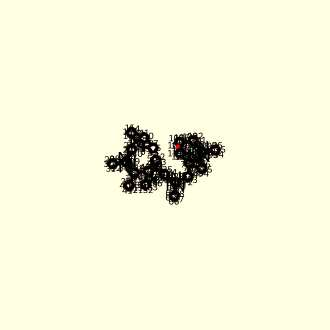 CC1(C)c2ccccc2-c2ccc3c4ccccc4n(-c4ccc(-c5nc(-c6ccccc6)nc(-c6cc(-c7ccccc7)cc(-c7cc8c9ccccc9n(-c9ccc(-c%10nc(-c%11ccccc%11)nc(-c%11cccc(-c%12cc%13c(c%14c%12c%12ccccc%12n%14-c%12nc(-c%14ccccc%14)nc(-c%14cccc(-c%15ccccc%15)c%14)n%12)C(C)(C)c%12ccccc%12-%13)c%11)n%10)cc9)c8c8c7-c7ccccc7C8(C)C)c6)n5)cc4)c3c21